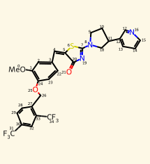 COc1cc(/C=C2/SC(N3CCC(c4cccnc4)C3)=NC2=O)ccc1OCc1ccc(C(F)(F)F)cc1C(F)(F)F